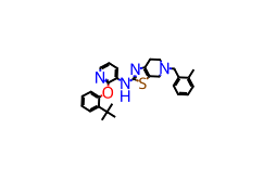 Cc1ccccc1CN1CCc2nc(Nc3cccnc3Oc3ccccc3C(C)(C)C)sc2C1